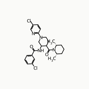 C[C@@H]1CCC[C@H](C)N1C(=O)C1CCN(c2ccc(Cl)cn2)CC1NC(=O)c1cccc(Cl)c1